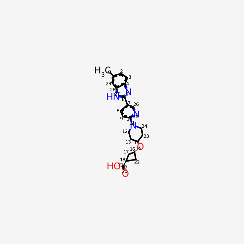 Cc1ccc2nc(-c3ccc(N4CCC(O[C@H]5C[C@H](C(=O)O)C5)CC4)nc3)[nH]c2c1